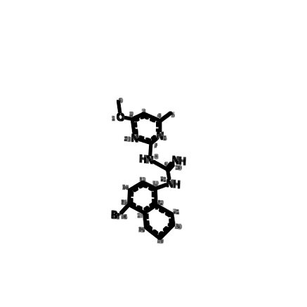 COc1cc(C)nc(NC(=N)Nc2ccc(Br)c3ccccc23)n1